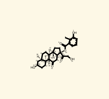 Cc1c(O)cccc1C(=O)O[C@]1(C(=O)CO)CC[C@H]2[C@@H]3CC[C@@H]4C[C@H](O)CC[C@]4(C)[C@H]3C(=O)C[C@@]21C